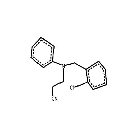 N#CCCN(Cc1ccccc1Cl)c1ccccc1